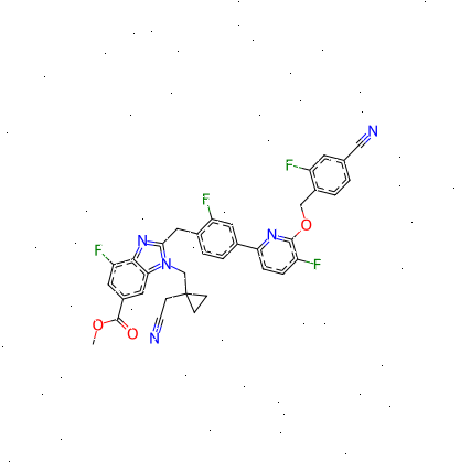 COC(=O)c1cc(F)c2nc(Cc3ccc(-c4ccc(F)c(OCc5ccc(C#N)cc5F)n4)cc3F)n(CC3(CC#N)CC3)c2c1